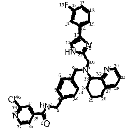 O=C(NCc1ccc(CN(Cc2nc(-c3cccc(F)c3)c[nH]2)C2CCCc3cccnc32)cc1)c1ccnc(Cl)c1